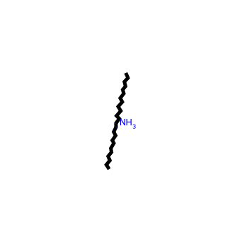 CCCCCCCCCCCCCCCCCCCCCCCC.N